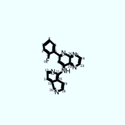 Fc1ccccc1-c1cc(Nc2nccc3cnccc23)c2nccnc2n1